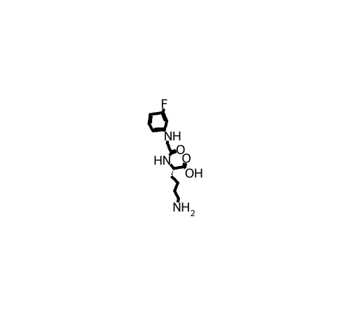 NCCCC[C@H](NC(=O)CNc1cccc(F)c1)C(=O)O